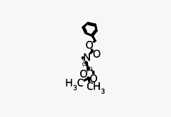 CC1(C)OC[C@@H]([C@@H]2CN2C(=O)OCc2ccccc2)O1